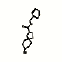 O=C(OCc1ccccc1)N1CCC2(CCC(O)CC2)C1